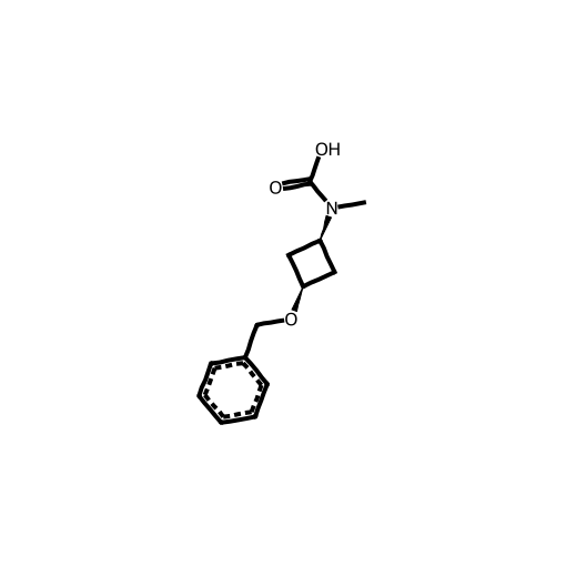 CN(C(=O)O)[C@H]1C[C@@H](OCc2ccccc2)C1